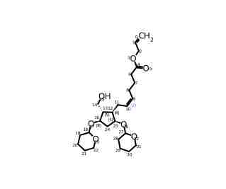 C=CCOC(=O)CCC/C=C\C[C@@H]1[C@@H](CO)[C@H](OC2CCCCO2)C[C@@H]1OC1CCCCO1